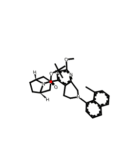 COc1nc2c(c(N3C[C@H]4CC[C@@H](C3)N4C(=O)OC(C)(C)C)n1)CCN(c1cccc3cccc(C)c13)C2